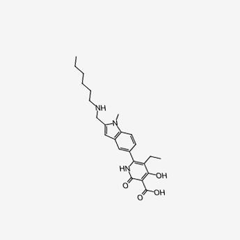 CCCCCCNCc1cc2cc(-c3[nH]c(=O)c(C(=O)O)c(O)c3CC)ccc2n1C